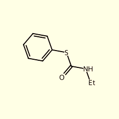 CCNC(=O)Sc1ccccc1